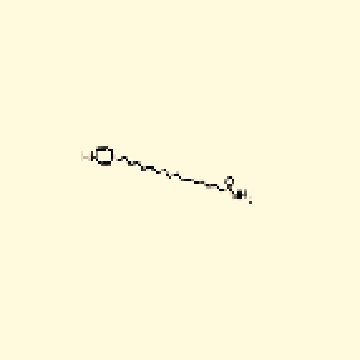 C1=CC=CNC=C1.CCCCCCCCCCCCCCCCCC(N)=O